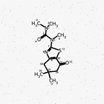 CN(C)C(=O)N(C)c1nc2c(s1)C(=O)CC(C)(C)C2